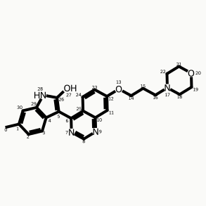 Cc1ccc2c(-c3ncnc4cc(OCCCN5CCOCC5)ccc34)c(O)[nH]c2c1